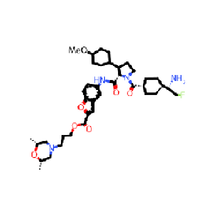 COC1CCC(C2CCN(C(=O)[C@H]3CC[C@H]([C@H](N)CF)CC3)[C@@H]2C(=O)Nc2ccc3oc(C(=O)OCCCN4C[C@@H](C)O[C@@H](C)C4)cc3c2)CC1